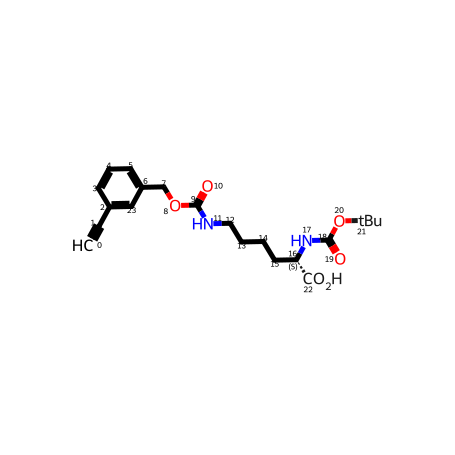 C#Cc1cccc(COC(=O)NCCCC[C@H](NC(=O)OC(C)(C)C)C(=O)O)c1